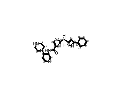 O=C(Nc1cnccc1N1CCNCC1)c1csc(Nc2cc(-c3ccccc3)n[nH]2)n1